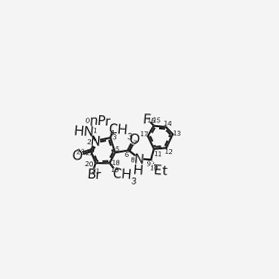 CCCNn1c(C)c(C(=O)N[C@@H](CC)c2cccc(F)c2)c(C)c(Br)c1=O